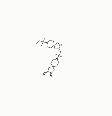 CCC(C)(C)N1CCC2(CC1)COC(CC(C)(C)N1CCC3(CC1)CNC(=O)C3)C2